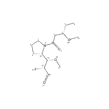 CC[C@@H](CC(=O)N1CCC[C@H]1[C@H](OC)[C@@H](F)C=O)OC